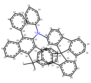 CC1(C)c2ccccc2-c2c(N(c3ccccc3)c3ccc4c(c3)C3(c5ccccc5-c5ccccc53)c3ccccc3-4)c(-c3ccccc3)c3ccccc3c21